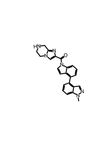 Cn1ncc2c(-c3cccc4c3ccn4C(=O)c3cn4c(n3)CNCC4)cccc21